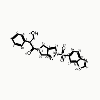 O=C([C@H](CO)c1ccccc1)N1Cc2cn(S(=O)(=O)c3ccc4ncsc4c3)nc2C1